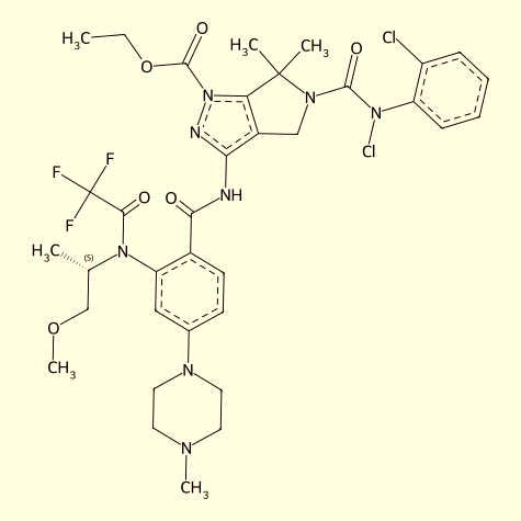 CCOC(=O)n1nc(NC(=O)c2ccc(N3CCN(C)CC3)cc2N(C(=O)C(F)(F)F)[C@@H](C)COC)c2c1C(C)(C)N(C(=O)N(Cl)c1ccccc1Cl)C2